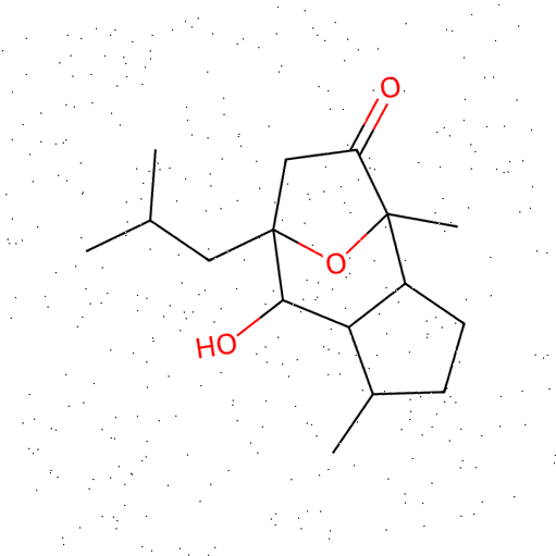 CC(C)CC12CC(=O)C(C)(O1)C1CCC(C)C1C2O